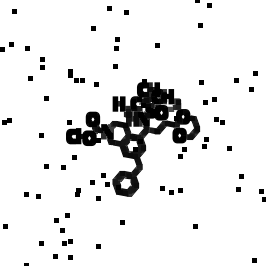 CC(C)(C)[S+]([O-])N[C@@H](CCC1OCCCO1)c1cc(Cc2ccccc2)cc2c1CCN(C(=O)OCl)C2